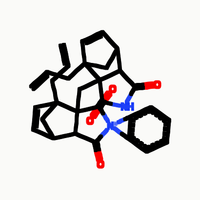 C=CCC12C=CC(C1)C1C(=O)NC(=O)C12CC12C(=O)[N+]3(C(=O)C1C1C=CC2(CC=C)C1)c1ccccc13